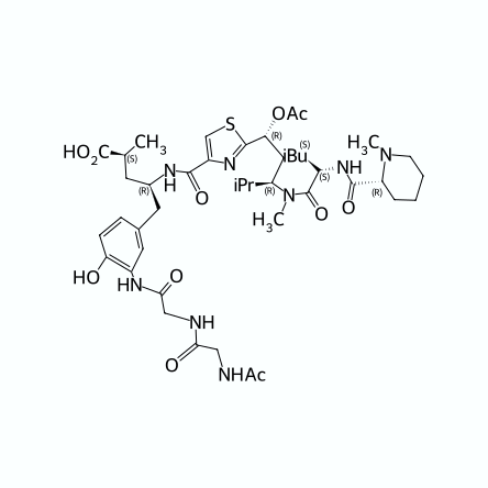 CC[C@H](C)[C@H](NC(=O)[C@H]1CCCCN1C)C(=O)N(C)[C@H](C[C@@H](OC(C)=O)c1nc(C(=O)N[C@@H](Cc2ccc(O)c(NC(=O)CNC(=O)CNC(C)=O)c2)C[C@H](C)C(=O)O)cs1)C(C)C